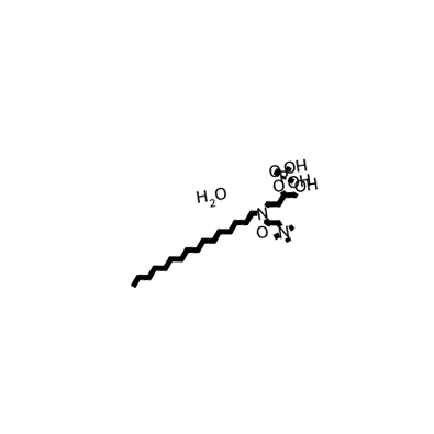 CCCCCCCCCCCCCCCCN(CCC(CO)OP(=O)(O)O)C(=O)C[N+](C)(C)C.O